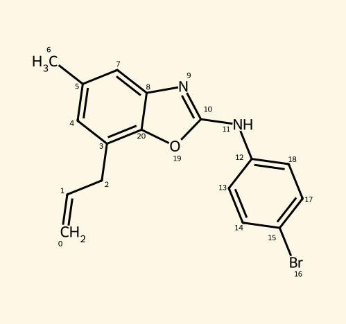 C=CCc1cc(C)cc2nc(Nc3ccc(Br)cc3)oc12